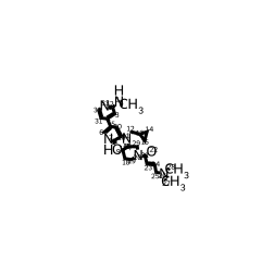 CNc1cc(-c2c[nH]c(=O)c(N(CC3CC3)[C@H]3CCCN(C(=O)C=CCN(C)C)C3)c2)ccn1